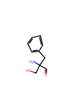 NC(C=O)(CO)Cc1ccccc1